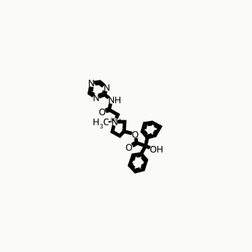 C[N@@+]1(CC(=O)Nc2ncncn2)CCC(OC(=O)C(O)(c2ccccc2)c2ccccc2)C1